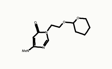 CNc1cc(=O)n(CCOC2CCCCO2)cn1